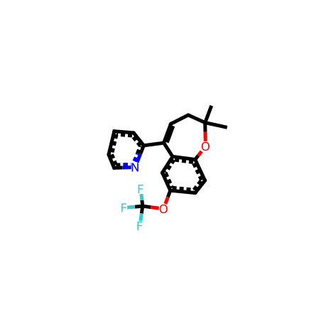 CC1(C)CC=C(c2ccccn2)c2cc(OC(F)(F)F)ccc2O1